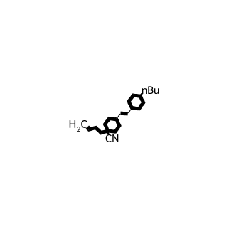 C=CCC[C@]1(C#N)CC[C@H](CC[C@H]2CC[C@H](CCCC)CC2)CC1